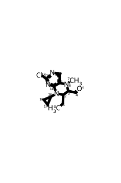 CCC1C(C=O)N(C)c2cnc(Cl)nc2N1C1CC1